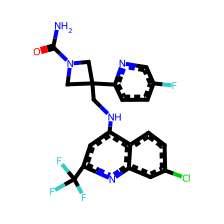 NC(=O)N1CC(CNc2cc(C(F)(F)F)nc3cc(Cl)ccc23)(c2ccc(F)cn2)C1